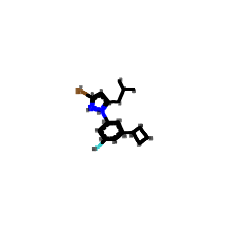 CC(C)Cc1cc(Br)nn1-c1cc(F)cc(C2CCC2)c1